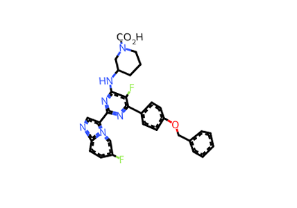 O=C(O)N1CCCC(Nc2nc(-c3cnc4ccc(F)cn34)nc(-c3ccc(OCc4ccccc4)cc3)c2F)C1